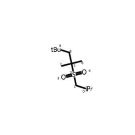 CC(C)CS(=O)(=O)C(C)(C)CC(C)(C)C